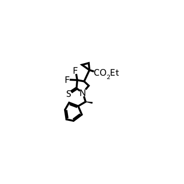 CCOC(=O)C1(C2CN([C@@H](C)c3ccccc3)C(=S)C2(F)F)CC1